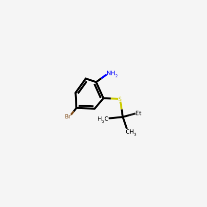 CCC(C)(C)Sc1cc(Br)ccc1N